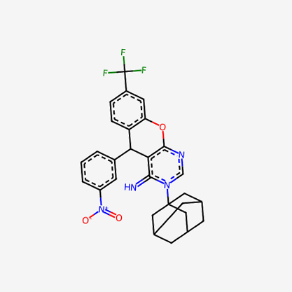 N=c1c2c(ncn1C13CC4CC(CC(C4)C1)C3)Oc1cc(C(F)(F)F)ccc1C2c1cccc([N+](=O)[O-])c1